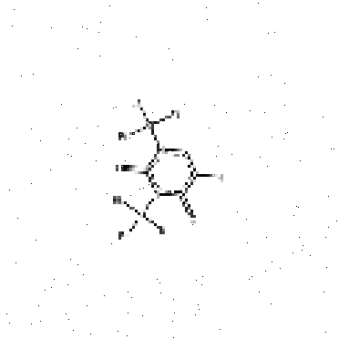 CC[Si](CC)(CC)n1cc(F)c(=O)n([Si](CC)(CC)CC)c1=O